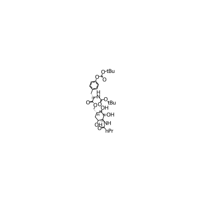 CCCC(=O)N[C@H]1C(O)C[C@H](COC(=O)[C@H](Cc2ccc(OC(=O)OC(C)(C)C)cc2)NC(=O)OC(C)(C)C)[C@@H](O)[C@@H]1O